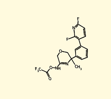 CC1(c2cccc(-c3ccc(F)nc3F)c2)COCC(NOC(=O)C(F)(F)F)=N1